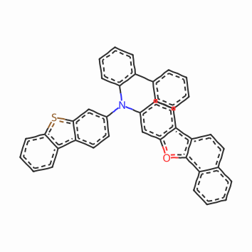 c1ccc(-c2ccccc2N(c2ccc3c(c2)oc2c4ccccc4ccc32)c2ccc3c(c2)sc2ccccc23)cc1